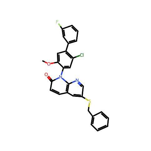 COc1cc(-c2cccc(F)c2)c(Cl)cc1-n1c(=O)ccc2cc(SCc3ccccc3)cnc21